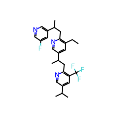 CCc1cc(C(C)Cc2ncc(C(C)C)cc2C(F)(F)F)cnc1CC(C)c1cncc(F)c1